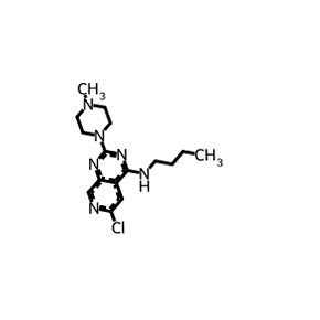 CCCCNc1nc(N2CCN(C)CC2)nc2cnc(Cl)cc12